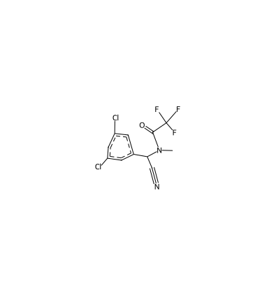 CN(C(=O)C(F)(F)F)C(C#N)c1cc(Cl)cc(Cl)c1